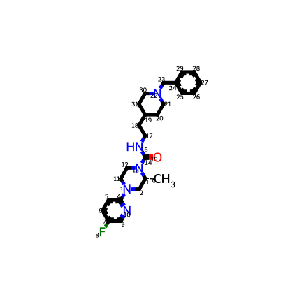 C[C@@H]1CN(c2ccc(F)cn2)CCN1C(=O)NCCC1CCN(Cc2ccccc2)CC1